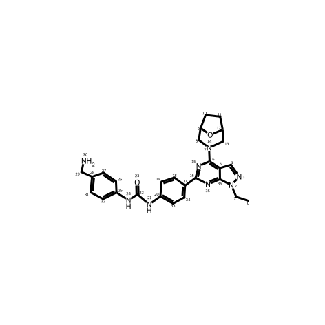 CCn1ncc2c(N3CC4CCC(C3)O4)nc(-c3ccc(NC(=O)Nc4ccc(CN)cc4)cc3)nc21